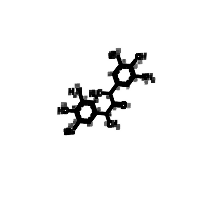 CC(C(=O)C(C)c1cc(N)c(O)c(C(C)(C)C)c1)c1cc(N)c(O)c(C(C)(C)C)c1